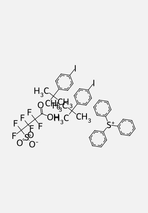 CC(C)(C)c1ccc(I)cc1.CC(C)(C)c1ccc(I)cc1.O=C(O)C(F)(F)C(F)(F)C(F)(F)S(=O)(=O)[O-].c1ccc([S+](c2ccccc2)c2ccccc2)cc1